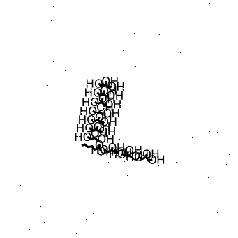 CCCCCC(=O)O.OCC(O)CO.OCC(O)CO.OCC(O)CO.OCC(O)CO.OCC(O)CO.OCC(O)CO.OCC(O)CO.OCC(O)CO.OCC(O)CO.OCC(O)CO